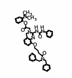 CN(C)c1ccccc1OC(=O)CN1Cc2cccc(OCCCC(=O)N(Cc3ccccc3)Cc3ccccc3)c2N=C1NC(=O)Nc1ccccc1